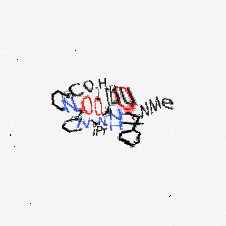 CN[C@H](C(=O)N[C@H](C(=O)N(C)[C@H](CN1CCCC[C@H]1C(=O)N1CCCC[C@H]1C(=O)O)C(C)C)C(C)(C)C)C(C)(C)c1ccccc1